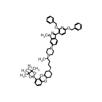 Cc1c(O[C@H]2CC[C@H](CCC[C@@H](C)N3CCN(c4ccc5c(-c6ccc(OCc7ccccc7)nc6OCc6ccccc6)nn(C)c5c4)CC3)CC2)cccc1B1OC(C)(C)C(C)(C)O1